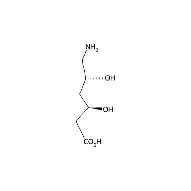 NC[C@H](O)C[C@@H](O)CC(=O)O